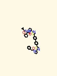 O=C(N[C@H](C(=O)N1CCC[C@@H]1c1ncc(-c2ccc(-c3ccc(-c4cnc([C@H]5CCCN5C(=O)Cc5ccccc5)s4)cc3)cc2)s1)C1=CC=CCC1)C1CC1